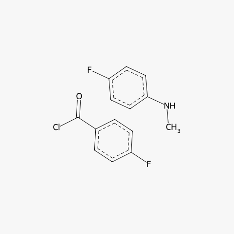 CNc1ccc(F)cc1.O=C(Cl)c1ccc(F)cc1